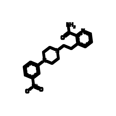 NC(=O)c1ncccc1CCN1CCN(c2cccc([N+](=O)[O-])c2)CC1